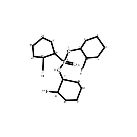 O=P(OC1CCCCC1F)(OC1CCCCC1F)C1CCCCC1F